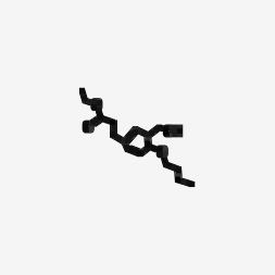 C/C=C/COc1ccc(/C=C/C(=O)OCC)cc1CO